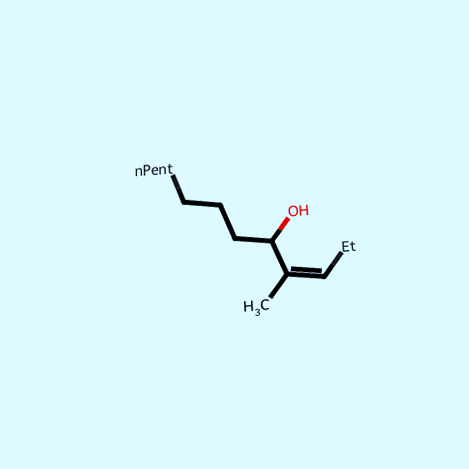 CCC=C(C)C(O)CCCCCCCC